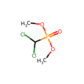 COP(=O)(OC)C(Cl)Cl